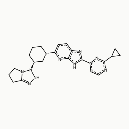 c1cc(-c2nc3ccc(N4CCC[C@H](N5NN=C6CCCN65)C4)nc3[nH]2)nc(C2CC2)n1